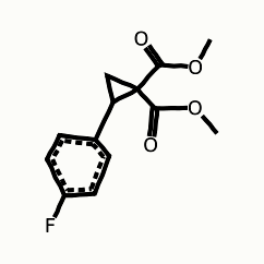 COC(=O)C1(C(=O)OC)CC1c1ccc(F)cc1